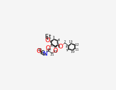 CCOc1ccc(OCc2ccccc2)c2c1OC(N=C=O)CO2